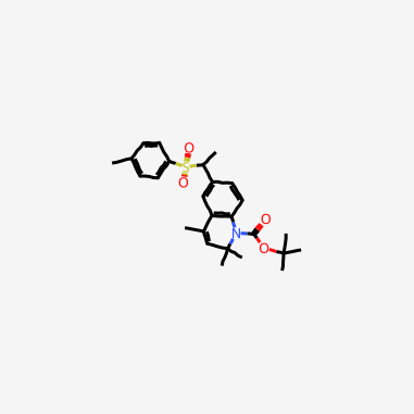 CC1=CC(C)(C)N(C(=O)OC(C)(C)C)c2ccc(C(C)S(=O)(=O)c3ccc(C)cc3)cc21